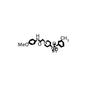 COc1ccc(NC(=O)CN2CCC(N(C(C)C)S(=O)(=O)c3cccc(C)c3)CC2)cc1